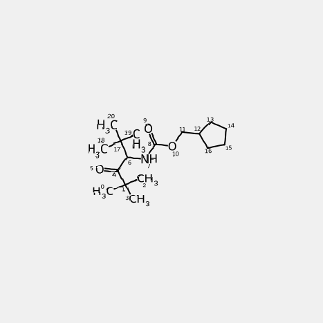 CC(C)(C)C(=O)C(NC(=O)OCC1CCCC1)C(C)(C)C